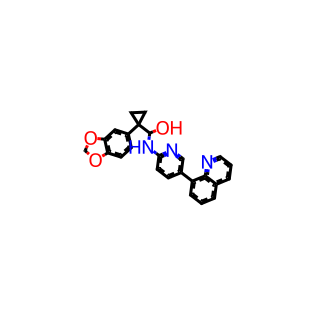 OC(Nc1ccc(-c2cccc3cccnc23)cn1)C1(c2ccc3c(c2)OCO3)CC1